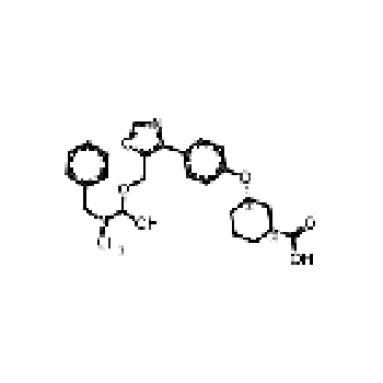 CN(Cc1ccccc1)C(O)OCc1ocnc1-c1ccc(O[C@H]2CCC[C@H](C(=O)O)C2)cc1